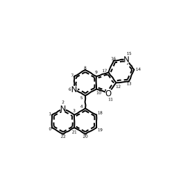 c1cnc2c(-c3nccc4c3oc3ccncc34)cccc2c1